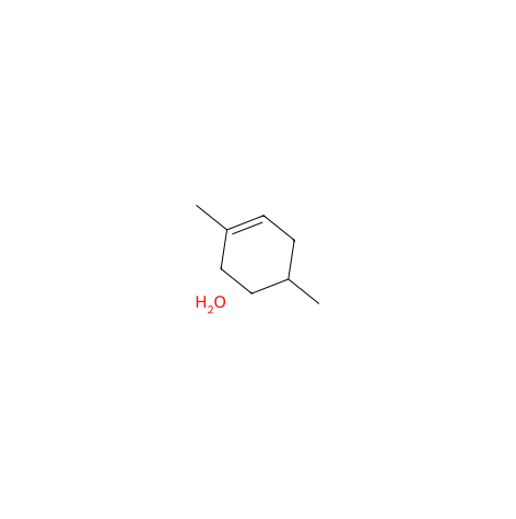 CC1=CCC(C)CC1.O